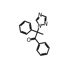 CC(C(=O)c1ccccc1)(c1ccccc1)n1cncn1